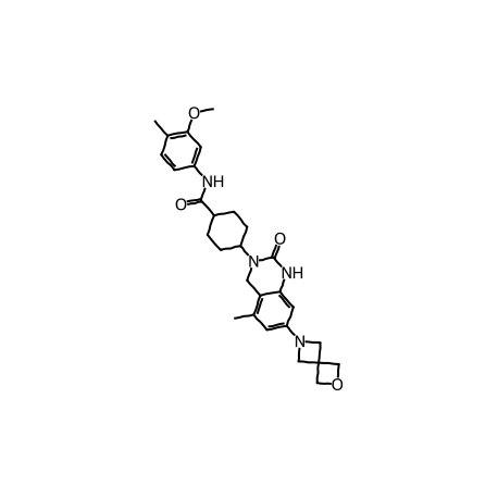 COc1cc(NC(=O)C2CCC(N3Cc4c(C)cc(N5CC6(COC6)C5)cc4NC3=O)CC2)ccc1C